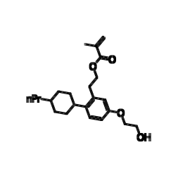 C=C(C)C(=O)OCCc1cc(OCCO)ccc1C1CCC(CCC)CC1